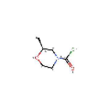 C[C@H]1CN(C(=O)Cl)CCO1